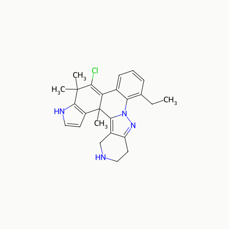 CCc1cccc2c1-n1nc3c(c1C1(C)C2=C(Cl)C(C)(C)c2[nH]ccc21)CNCC3